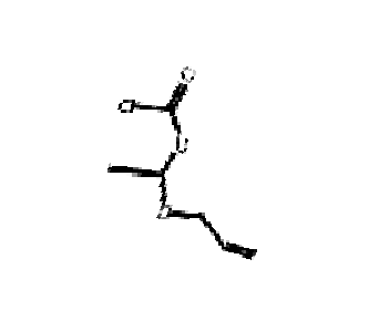 C=CCOC(C)OC(=O)Cl